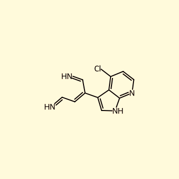 N=C/C=C(\C=N)c1c[nH]c2nccc(Cl)c12